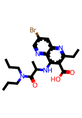 CCCN(CCC)C(=O)C(C)Nc1c(C(=O)O)c(CC)nc2cc(Br)cnc12